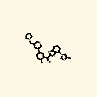 Cc1cn(-c2cccc3[nH]c(C(=N)c4cc(-c5cncc(CN6CCCC6)c5)ccc4C)nc23)cn1